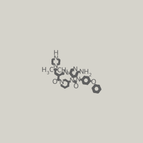 CC(C)(C=C(C#N)C(=O)N1CCCC(n2c(=O)n(-c3ccc(Oc4ccccc4)cc3)c3c(N)nccc32)C1)N1CCNCC1